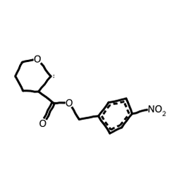 O=C(OCc1ccc([N+](=O)[O-])cc1)C1[C]OCCC1